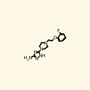 Nc1n[nH]c(N2CCN(CCOc3ccccc3F)CC2)n1